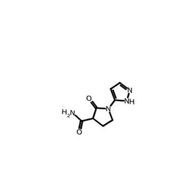 NC(=O)C1CCN(c2ccn[nH]2)C1=O